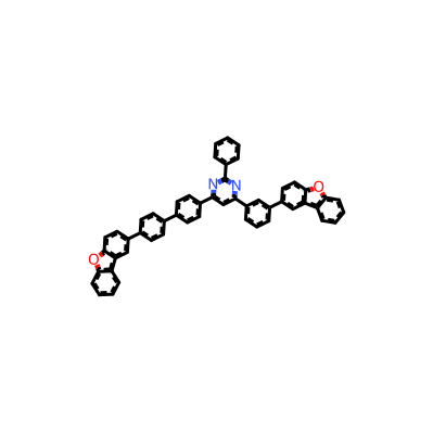 c1ccc(-c2nc(-c3ccc(-c4ccc(-c5ccc6oc7ccccc7c6c5)cc4)cc3)cc(-c3cccc(-c4ccc5oc6ccccc6c5c4)c3)n2)cc1